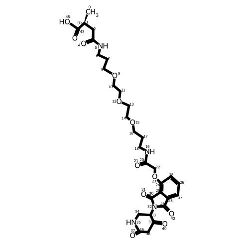 C[C@@H](CC(=O)NCCCOCCOCCOCCCNC(=O)COc1cccc2c1C(=O)N(C1CNC(=O)CC1=O)C2=O)C(=O)O